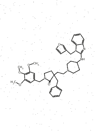 COc1cc(CN2CCC(CCN3CCC(Nc4nc5ccccc5n4Cc4ccoc4)CC3)(Cc3ccccc3)C2=O)cc(OC)c1OC